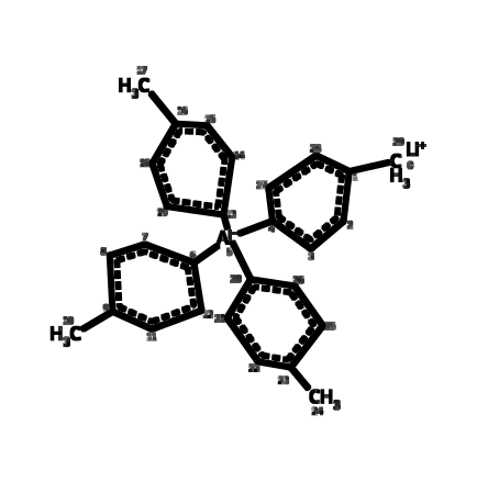 Cc1cc[c]([Al-]([c]2ccc(C)cc2)([c]2ccc(C)cc2)[c]2ccc(C)cc2)cc1.[Li+]